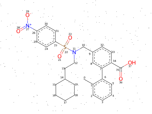 Cc1ccccc1-c1cc(CN(CCC2CCCCC2)S(=O)(=O)c2ccc([N+](=O)[O-])cc2)ccc1C(=O)O